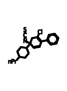 CCCC1CCC(C2(N=C=S)C=CC(c3ccccc3)=C(Cl)C2)CC1